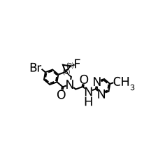 Cc1cnc(NC(=O)CN2C[C@]3(C[C@H]3F)c3cc(Br)ccc3C2=O)nc1